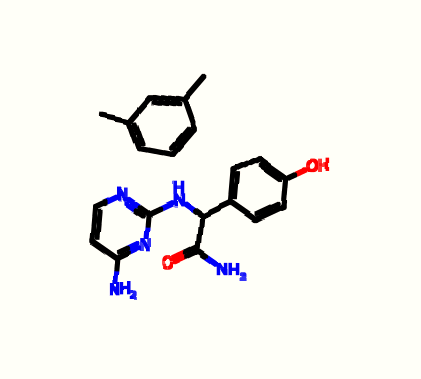 Cc1cccc(C)c1.NC(=O)C(Nc1nccc(N)n1)c1ccc(O)cc1